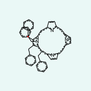 C1=Cc2cc3c(Cc4ccccc4)c(Cc4ccccc4)c(c(Cc4ccccc4)c4nc(cc5ccc(cc1n2)[nH]5)C=C4)n3Cc1ccccc1